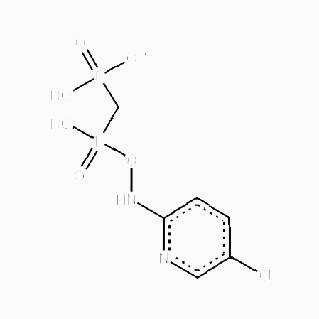 O=P(O)(O)CP(=O)(O)ONc1ccc(Cl)cn1